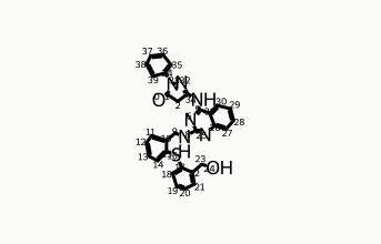 O=C1CC(Nc2nc(NCc3ccccc3Sc3ccccc3CO)nc3ccccc23)=NN1c1ccccc1